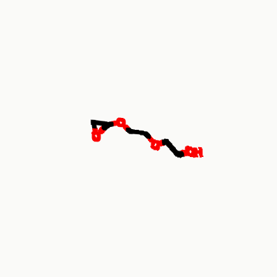 OCCOCCOC1CO1